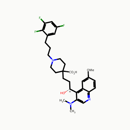 COc1ccc2ncc(N(C)C)c([C@H](O)CCC3(C(=O)O)CCN(CCCc4cc(F)cc(F)c4F)CC3)c2c1